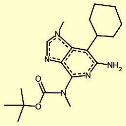 CN(C(=O)OC(C)(C)C)c1nc(N)c(C2CCCCC2)c2c1ncn2C